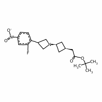 CC(C)(C)OC(=O)C[C@H]1C[C@@H](N2CC(c3ccc([N+](=O)[O-])cc3F)C2)C1